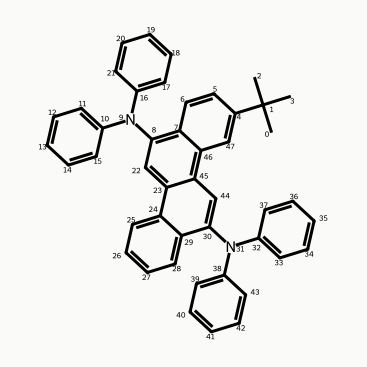 CC(C)(C)c1ccc2c(N(c3ccccc3)c3ccccc3)cc3c4ccccc4c(N(c4ccccc4)c4ccccc4)cc3c2c1